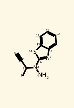 C#CC(C)N(N)c1nc2ccccc2s1